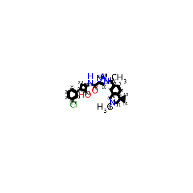 C[C@@H](c1ccc2c(c1)CN(C)CC21CC1)n1cc(C(=O)N[C@H]2C[C@@H](c3cccc(Cl)c3)[C@@H]2O)nn1